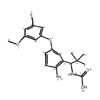 COc1cc(F)cc(Oc2ccc(N)c(C(NC(=O)O)C(C)(C)C)c2)c1